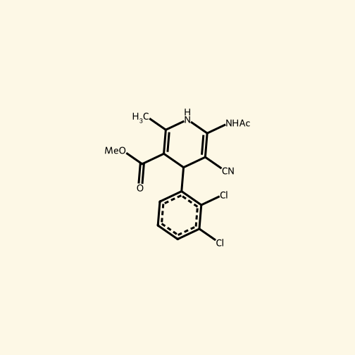 COC(=O)C1=C(C)NC(NC(C)=O)=C(C#N)C1c1cccc(Cl)c1Cl